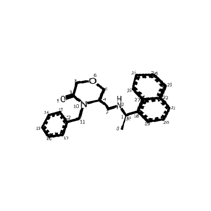 C[C@@H](NCC1COCC(=O)N1Cc1ccccc1)c1cccc2ccccc12